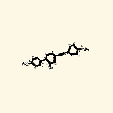 CCCc1ccc(C#Cc2ccc(-c3ccc(C#N)cc3)c(F)c2)cc1